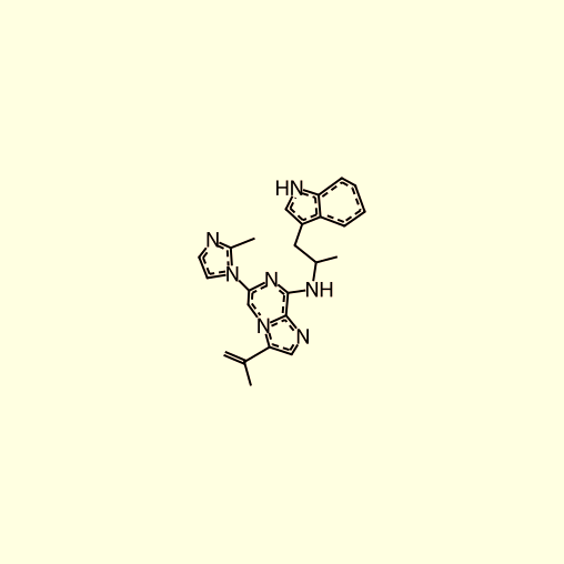 C=C(C)c1cnc2c(NC(C)Cc3c[nH]c4ccccc34)nc(-n3ccnc3C)cn12